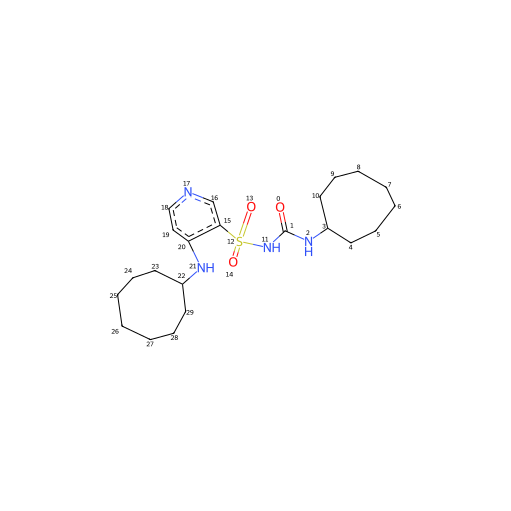 O=C(NC1CCCCCCC1)NS(=O)(=O)c1cnccc1NC1CCCCCCC1